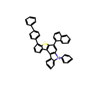 c1ccc(-c2ccc(-c3cccc4c3sc3c(-c5cccc6ccccc56)cc5c(c6ccccc6n5-c5ccccc5)c34)cc2)cc1